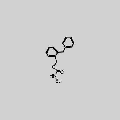 CCNC(=O)OCc1ccccc1Cc1ccccc1